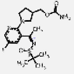 C/C(=N/[S@+]([O-])C(C)(C)C)c1cc(F)cnc1N1CCC(COC(N)=O)C1